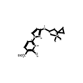 CCOC(=O)c1ccc(-n2ccc(OCCC3(S(C)(C)C)CC3)n2)nc1Cl